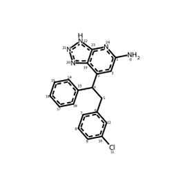 Nc1cc(C(Cc2cccc(Cl)c2)c2ccccc2)c2nn[nH]c2n1